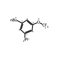 CCCCc1cc(OC(F)(F)F)cc([C](C)C)c1